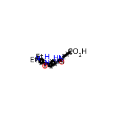 CCN(CC)c1ccc(C(=O)NC2CCc3cc(/C=C/C(=O)NCCCCCC(=O)O)ccc32)cc1